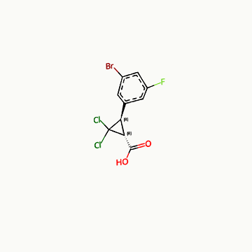 O=C(O)[C@H]1[C@H](c2cc(F)cc(Br)c2)C1(Cl)Cl